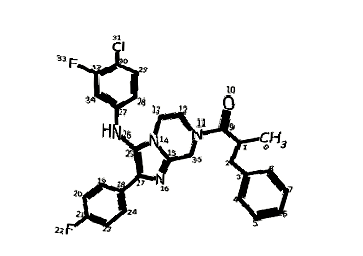 CC(Cc1ccccc1)C(=O)N1CCn2c(nc(-c3ccc(F)cc3)c2Nc2ccc(Cl)c(F)c2)C1